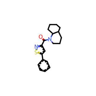 O=C(c1cc(-c2ccccc2)sn1)N1CCCC2CCCCC21